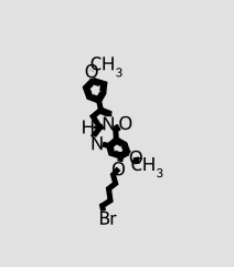 COc1ccc(C2=CN3C(=O)c4cc(OC)c(OCCCCCBr)cc4N=C[C@@H]3C2)cc1